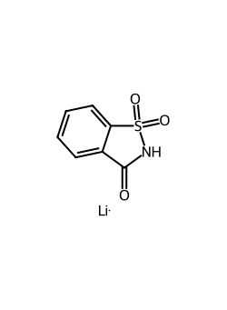 O=C1NS(=O)(=O)c2ccccc21.[Li]